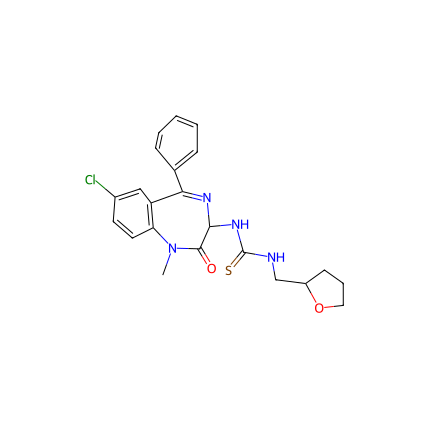 CN1C(=O)C(NC(=S)NCC2CCCO2)N=C(c2ccccc2)c2cc(Cl)ccc21